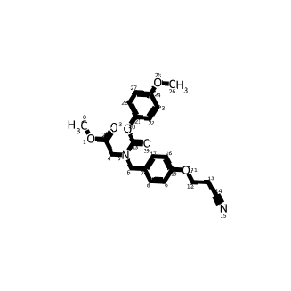 COC(=O)CN(Cc1ccc(OCCC#N)cc1)C(=O)Oc1ccc(OC)cc1